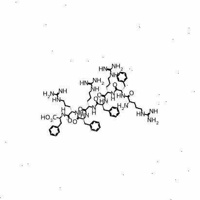 N=C(N)NCCC[C@H](NC(=O)[C@H](Cc1ccccc1)NC(=O)[C@H](CCCNC(=N)N)NC(=O)[C@H](Cc1ccccc1)NC(=O)[C@H](CCCNC(=N)N)NC(=O)[C@H](Cc1ccccc1)NC(=O)[C@@H](N)CCCNC(=N)N)C(=O)N[C@@H](Cc1ccccc1)C(=O)O